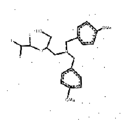 COc1ccc(CN(Cc2ccc(OC)cc2)CC(CO)OC(F)C(F)F)cc1